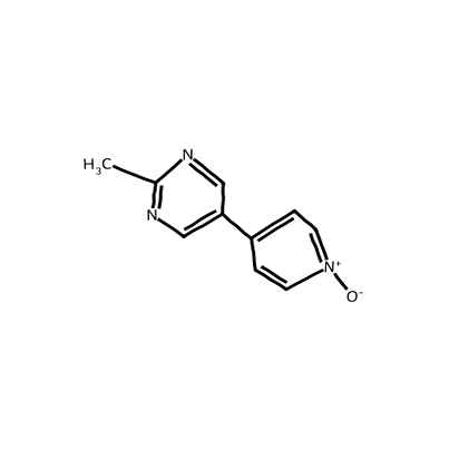 Cc1ncc(-c2cc[n+]([O-])cc2)cn1